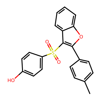 Cc1ccc(-c2oc3ccccc3c2S(=O)(=O)c2ccc(O)cc2)cc1